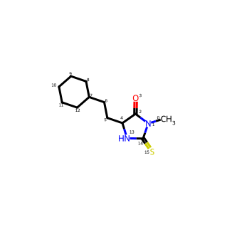 CN1C(=O)C(CCC2CCCCC2)NC1=S